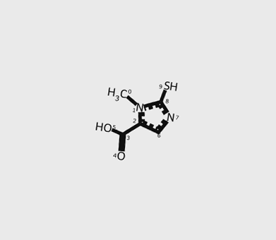 Cn1c(C(=O)O)cnc1S